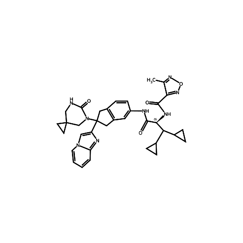 Cc1nonc1C(=O)N[C@H](C(=O)Nc1ccc2c(c1)CC(c1cn3ccccc3n1)(N1CC3(CC3)CNC1=O)C2)C(C1CC1)C1CC1